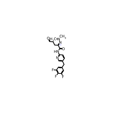 CN(C)/N=C(\CCC=O)C(=O)Nc1ccc(Cc2cc(F)c(F)c(F)c2)cn1